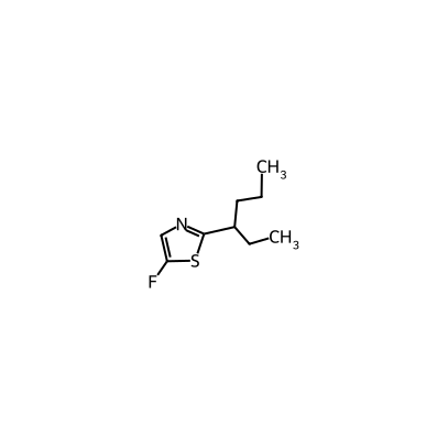 CCCC(CC)c1ncc(F)s1